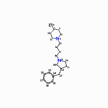 CCC1CCN(CCCCN2CCC(Cc3ccccc3)C2)CC1